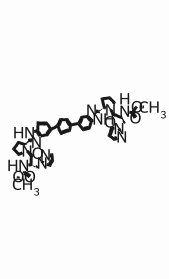 COC(=O)N[C@@H](Cn1cccn1)C(=O)N1CCC[C@H]1c1nc2cc(-c3ccc(-c4ccc5[nH]c([C@@H]6CCCN6C(=O)[C@H](Cn6cccn6)NC(=O)OC)nc5c4)cc3)ccc2[nH]1